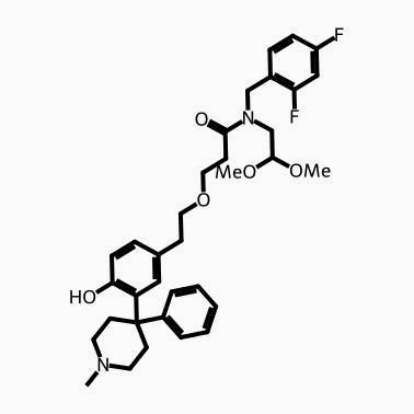 COC(CN(Cc1ccc(F)cc1F)C(=O)CCOCCc1ccc(O)c(C2(c3ccccc3)CCN(C)CC2)c1)OC